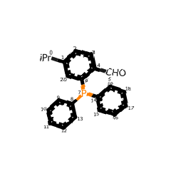 CC(C)c1ccc(C=O)c(P(c2ccccc2)c2ccccc2)c1